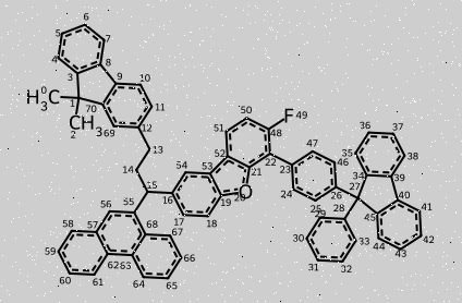 CC1(C)c2ccccc2-c2ccc(CCC(c3ccc4oc5c(-c6ccc(C7(c8ccccc8)c8ccccc8-c8ccccc87)cc6)c(F)ccc5c4c3)c3cc4ccccc4c4ccccc34)cc21